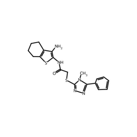 Cn1c(SCC(=O)Nc2sc3c(c2N)CCCC3)nnc1-c1ccccc1